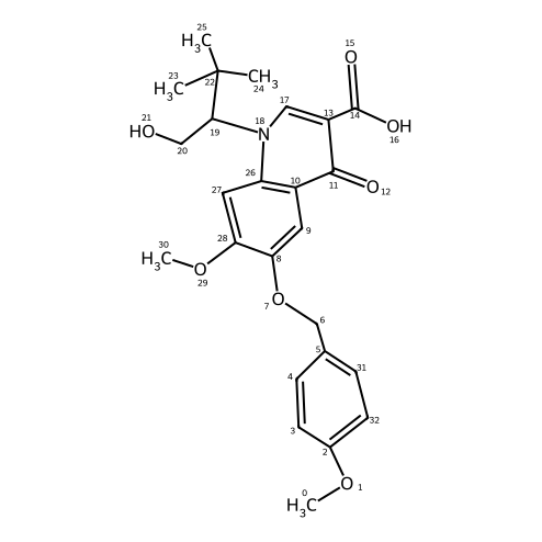 COc1ccc(COc2cc3c(=O)c(C(=O)O)cn(C(CO)C(C)(C)C)c3cc2OC)cc1